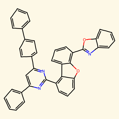 c1ccc(-c2ccc(-c3cc(-c4ccccc4)nc(-c4cccc5oc6c(-c7nc8ccccc8o7)cccc6c45)n3)cc2)cc1